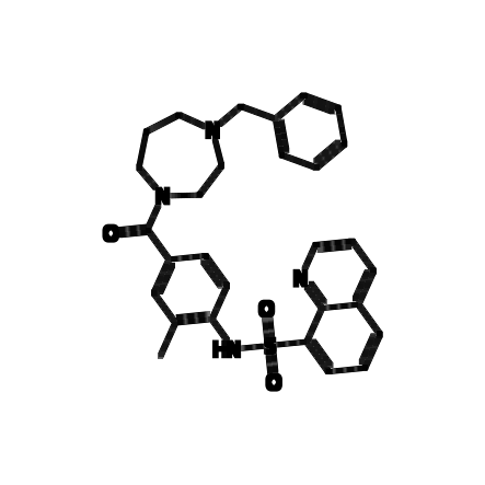 Cc1cc(C(=O)N2CCCN(Cc3ccccc3)CC2)ccc1NS(=O)(=O)c1cccc2cccnc12